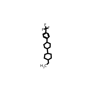 CCC1CCC(C2CCC(c3ccc(C(F)(F)F)cc3)CC2)CC1